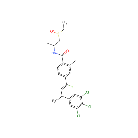 Cc1cc(/C(F)=C/C(c2cc(Cl)c(Cl)c(Cl)c2)C(F)(F)F)ccc1C(=O)NC(C)C[S+]([O-])CC(F)(F)F